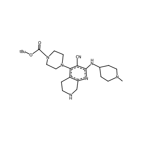 CN1CCC(Nc2nc3c(c(N4CCN(C(=O)OC(C)(C)C)CC4)c2C#N)CCNC3)CC1